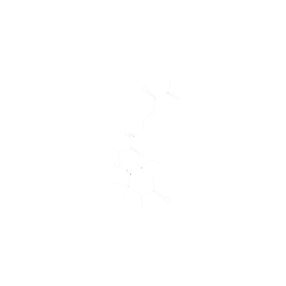 C=C(C)C(=O)OCCNC(=O)C(C)ON1C(C)(CC)CC(=O)C(C)C1(C)CC